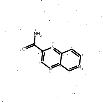 NC(=O)c1cnc2cnccc2n1